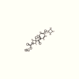 CC(C)(C)OC(=O)N1CC(C)(C(=O)c2ccc(OC3CCC3)cc2)C1